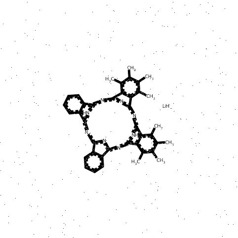 Cc1c(C)c(C)c2c(c1C)-c1nc-2nc2[nH]c(nc3nc(nc4[nH]c(n1)c1ccccc41)-c1ccccc1-3)c1c(C)c(C)c(C)c(C)c21.[LiH]